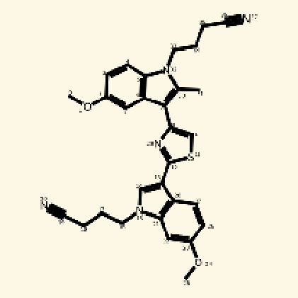 COc1ccc2c(c1)c(-c1csc(-c3cn(CCCC#N)c4cc(OC)ccc34)n1)c(C)n2CCCC#N